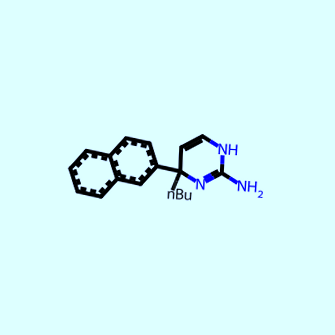 CCCCC1(c2ccc3ccccc3c2)C=CNC(N)=N1